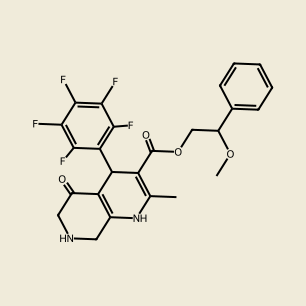 COC(COC(=O)C1=C(C)NC2=C(C(=O)CNC2)C1c1c(F)c(F)c(F)c(F)c1F)c1ccccc1